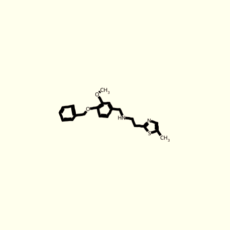 COc1cc(CNCCc2ncc(C)s2)ccc1OCc1ccccc1